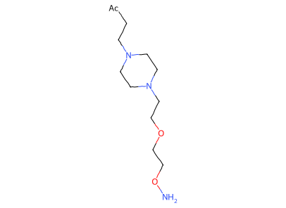 CC(=O)CCN1CCN(CCOCCON)CC1